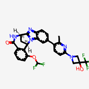 Cc1nc(N2CC(O)(C(F)(F)F)C2)ccc1-c1ccc2nc3n(c2c1)[C@@H]1C[C@H]3NC(=O)c2cccc(OC(F)F)c21